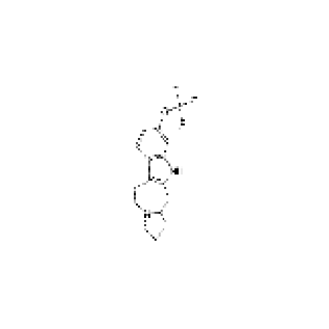 FC(F)(F)Oc1ccc2c3c([nH]c2c1)CC1CCCN1CC3